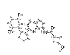 COC1CN(C(=O)Nc2cnn3ccc(N4CCCC4c4cc(F)ccc4Cl)nc23)C1